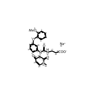 COc1ccccc1Oc1cccc(N(C(=O)NCCC(=O)[O-])[C@H]2C(=O)C=CN(C)C2=O)c1.[Na+]